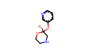 BrC1(Oc2cccnc2)CNCCO1